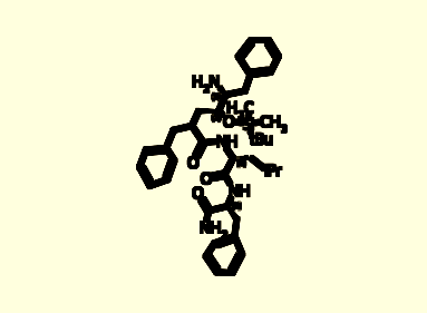 CC(C)C[C@@H](NC(=O)C(Cc1ccccc1)C[C@H](O[Si](C)(C)C(C)(C)C)[C@@H](N)Cc1ccccc1)C(=O)N[C@@H](Cc1ccccc1)C(N)=O